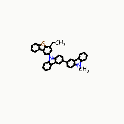 CCc1cc(-n2c3ccccc3c3cc(-c4ccc5c(c4)c4ccccc4n5C)ccc32)cc2c1sc1ccccc12